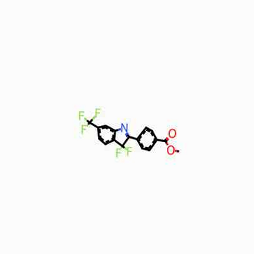 COC(=O)c1ccc(C2=Nc3cc(C(F)(F)F)ccc3C2(F)F)cc1